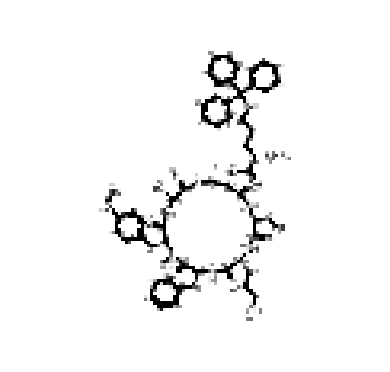 CC(=O)N[C@@H](CCC(=O)NC(c1ccccc1)(c1ccccc1)c1ccccc1)C(=O)N[C@@H]1C(=O)N[C@@H](CC(C)C)C(=O)N[C@@H](CCCO)C(=O)N[C@@H](Cc2ccccc2)C(=O)N(C)[C@@H](Cc2ccc(OC(C)(C)C)cc2)C(=O)N[C@@H](C(C)C)C(=O)O[C@@H]1C